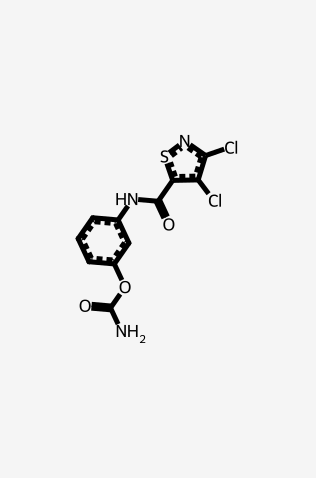 NC(=O)Oc1cccc(NC(=O)c2snc(Cl)c2Cl)c1